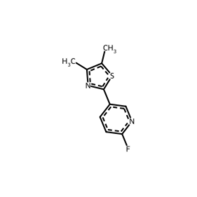 Cc1nc(-c2ccc(F)nc2)sc1C